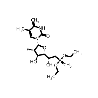 C=C1NC(=O)N([C@@H]2O[C@H]([C@@H](C)CP(=C)(OCC)OCC)[C@@H](O)[C@H]2F)C=C1C